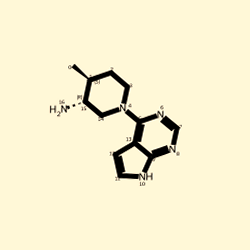 C[C@H]1CCN(c2ncnc3[nH]ccc23)C[C@@H]1N